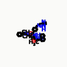 C[C@H](NC(=O)[C@H](CCCNC(C)(C)c1ccccc1)NC(=O)c1ccc(CNCc2ncc[nH]2)cc1)c1cccc2ccccc12